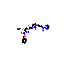 O=C(CN1C(=O)CN(CCCNc2ncccn2)C1=O)NC[C@H](NC(=O)OCc1ccccc1)C(=O)O